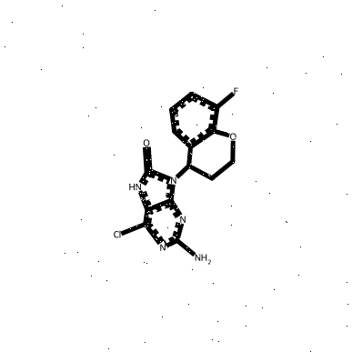 Nc1nc(Cl)c2[nH]c(=O)n(C3CCOc4c(F)cccc43)c2n1